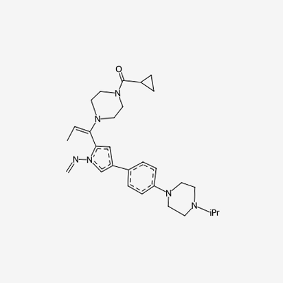 C=Nn1cc(-c2ccc(N3CCN(C(C)C)CC3)cc2)cc1/C(=C\C)N1CCN(C(=O)C2CC2)CC1